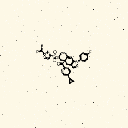 O=C(c1ccc(C2CC2)cn1)[C@]12Cc3cnn(-c4ccc(F)cc4)c3C=C1CC[C@H](S(=O)(=O)c1cnn(C(F)F)n1)C2